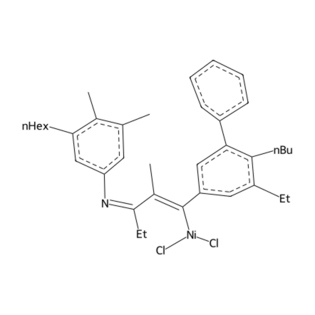 CCCCCCc1cc(N=C(CC)C(C)=[C](c2cc(CC)c(CCCC)c(-c3ccccc3)c2)[Ni]([Cl])[Cl])cc(C)c1C